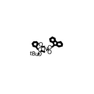 CC(C)(C)OCCN(CC(=O)OCc1ccccc1)C(=O)OCC1c2ccccc2-c2ccccc21